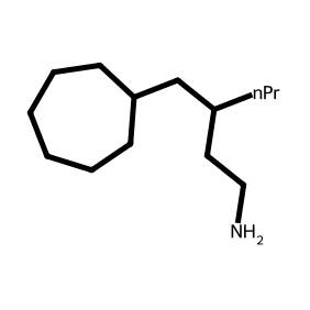 CCCC(CCN)CC1CCCCCC1